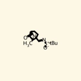 CN1C(=O)C2CCC1(C=N[S@+]([O-])C(C)(C)C)CC2